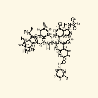 Cc1ccnc(COc2ccc3c(=O)n(-c4ccc(Cl)c5c(NS(C)(=O)=O)nn(C)c45)c([C@H](Cc4cc(F)cc(F)c4)NC(=O)Cn4nc(C(F)F)c5c4C(F)(F)[C@@H]4C[C@H]54)nc3n2)n1